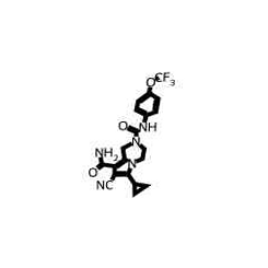 N#Cc1c(C(N)=O)c2n(c1C1CC1)CCN(C(=O)Nc1ccc(OC(F)(F)F)cc1)C2